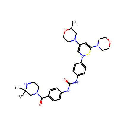 CC1CN(C2=CN(c3ccc(NC(=O)Nc4ccc(C(=O)N5CCNC(C)(C)C5)cc4)cc3)SC(N3CCOCC3)=C2)CCO1